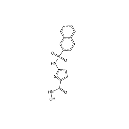 O=C(NO)c1ccc(NS(=O)(=O)c2ccc3ccccc3c2)s1